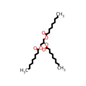 CCCCCCCCC(=O)OCC(COC(=O)CCCCCCCC)OC(=O)CCCCCCCC